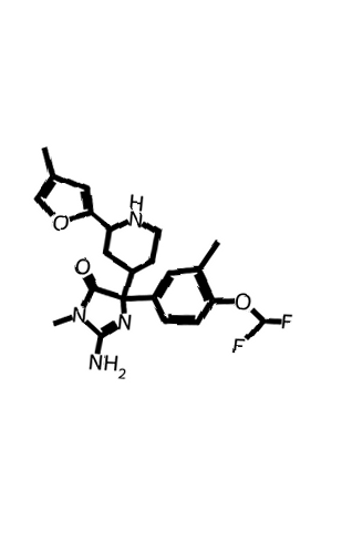 Cc1coc(C2CC(C3(c4ccc(OC(F)F)c(C)c4)N=C(N)N(C)C3=O)CCN2)c1